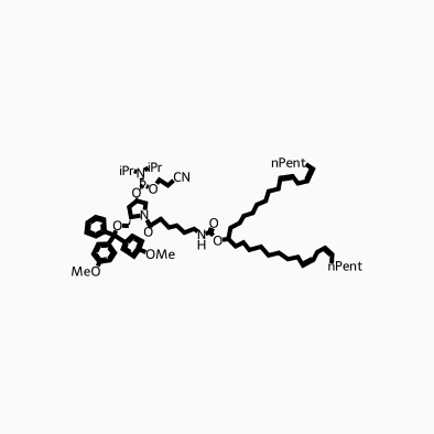 CCCCC/C=C\C/C=C\CCCCCCCCC(CCCCCCCC/C=C\C/C=C\CCCCC)OC(=O)NCCCCCC(=O)N1C[C@H](OP(OCCC#N)N(C(C)C)C(C)C)C[C@H]1COC(c1ccccc1)(c1ccc(OC)cc1)c1ccc(OC)cc1